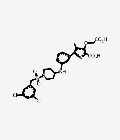 Cc1c(-c2cccc(NC3CCN(S(=O)(=O)Cc4cc(Cl)cc(Cl)c4)CC3)c2)sc(C(=O)O)c1OCC(=O)O